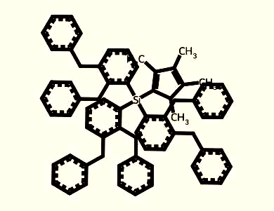 CC1=C(C)C(C)C([Si](c2cccc(Cc3ccccc3)c2Cc2ccccc2)(c2cccc(Cc3ccccc3)c2Cc2ccccc2)c2cccc(Cc3ccccc3)c2Cc2ccccc2)=C1C